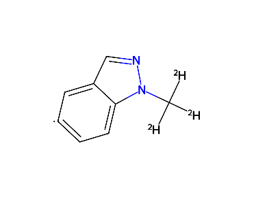 [2H]C([2H])([2H])n1ncc2c[c]ccc21